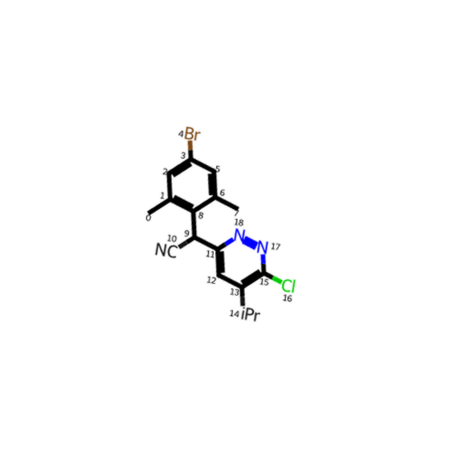 Cc1cc(Br)cc(C)c1C(C#N)c1cc(C(C)C)c(Cl)nn1